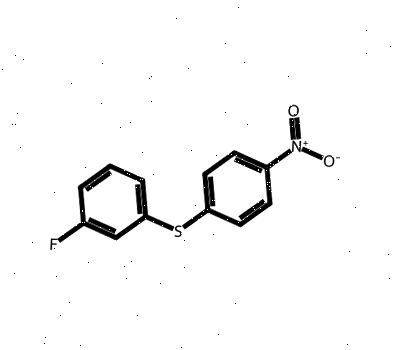 O=[N+]([O-])c1ccc(Sc2cccc(F)c2)cc1